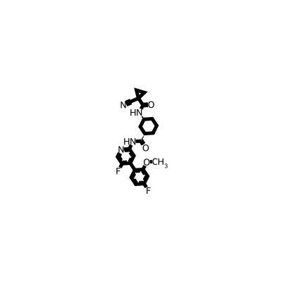 COc1cc(F)ccc1-c1cc(NC(=O)[C@H]2CCC[C@@H](NC(=O)C3(C#N)CC3)C2)ncc1F